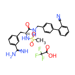 CS(=O)(=O)N[C@@H](Cc1cccc(C(=N)N)c1)C(=O)NCc1ccc(-c2ccccc2C#N)cc1.O=C(O)C(F)(F)F